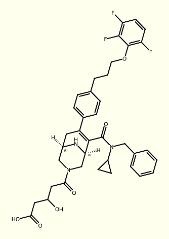 O=C(O)CC(O)CC(=O)N1C[C@H]2CC(c3ccc(CCCOc4c(F)ccc(F)c4F)cc3)=C(C(=O)N(Cc3ccccc3)C3CC3)[C@@H](C1)N2